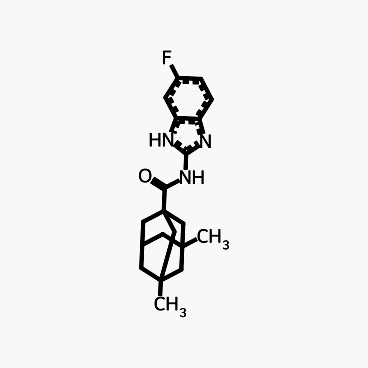 CC12CC3CC(C)(C1)CC(C(=O)Nc1nc4ccc(F)cc4[nH]1)(C3)C2